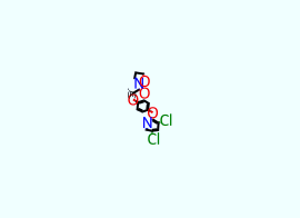 C[C@@H](Oc1ccc(Oc2ncc(Cl)cc2Cl)cc1)C(=O)N1CCCO1